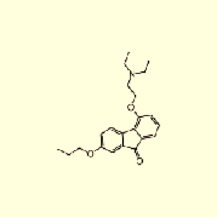 CCCOc1ccc2c(c1)C(=O)c1cccc(OCCN(CC)CC)c1-2